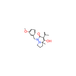 C=C(C)C1=C(O)C2(C)CCCN2N(Cc2cccc(OC)c2)C1=O